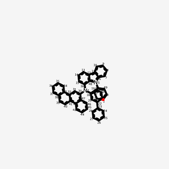 C1=CCCC(n2c3ccccc3c3cccc(N(c4cccc(-c5ccccc5)c4)c4cc5c6ccccc6ccc5c5ccccc45)c32)=C1